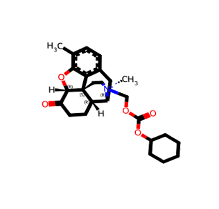 Cc1ccc2c3c1O[C@H]1C(=O)CC[C@H]4C(C2)[N@+](C)(COC(=O)OC2CCCCC2)CC[C@]314